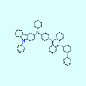 c1ccc(-c2cccc(-c3c4ccccc4c(-c4ccc(N(c5ccccc5)c5ccc6c(c5)c5ccccc5n6-c5ccccc5)cc4)c4ccccc34)c2)cc1